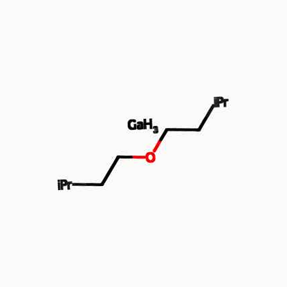 CC(C)CCOCCC(C)C.[GaH3]